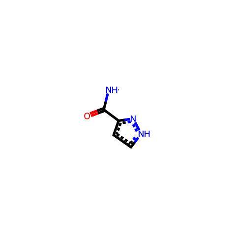 [NH]C(=O)c1cc[nH]n1